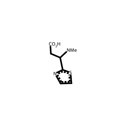 CNC(CC(=O)O)c1nccs1